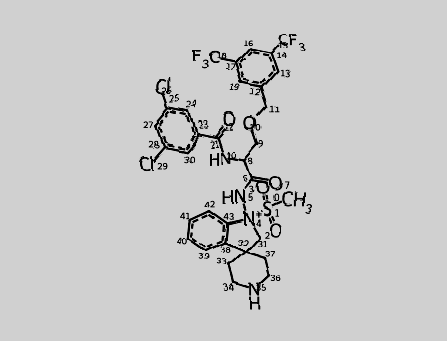 CS(=O)(=O)[N+]1(NC(=O)C(COCc2cc(C(F)(F)F)cc(C(F)(F)F)c2)NC(=O)c2cc(Cl)cc(Cl)c2)CC2(CCNCC2)c2ccccc21